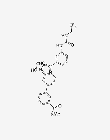 CNC(=O)c1cccc(-c2ccn3c(-c4cccc(NC(=O)NCC(F)(F)F)c4)cnc3c2)c1.O=CO